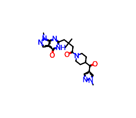 Cn1cc(C(=O)C2CCN(C(=O)CC(C)(C)Cc3nc4c(cnn4C)c(=O)[nH]3)CC2)cn1